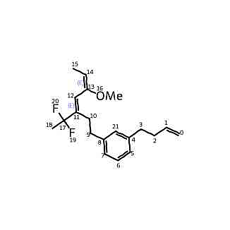 C=CCCc1cccc(CC/C(=C\C(=C/C)OC)C(C)(F)F)c1